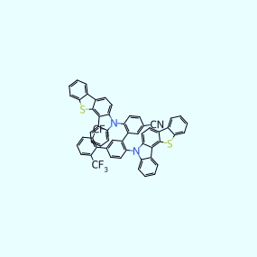 N#Cc1ccc(-n2c3ccccc3c3c4sc5ccccc5c4ccc32)c(-c2cc(-c3c(C(F)(F)F)cccc3C(F)(F)F)ccc2-n2c3ccccc3c3c4sc5ccccc5c4ccc32)c1